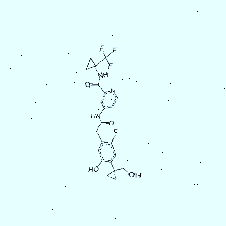 O=C(Cc1cc(O)c(C2(CO)CC2)cc1F)Nc1ccnc(C(=O)NC2(C(F)(F)F)CC2)c1